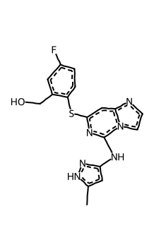 Cc1cc(Nc2nc(Sc3ccc(F)cc3CO)cc3nccn23)n[nH]1